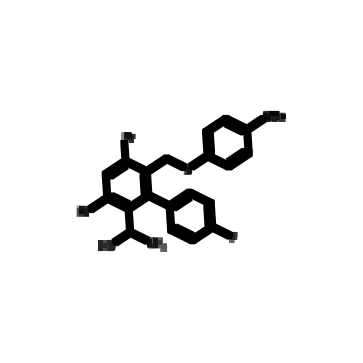 CSc1ccc(SCc2c(C(C)C)cc(C(C)C)c(C(C)O)c2-c2ccc(F)cc2)cc1